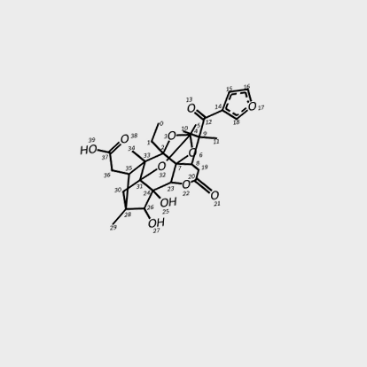 CCC12OC3(C)OC14C(C(C)(C)C(=O)c1ccoc1)CC(=O)OC4C1(O)C(O)C4(C)CC1(O3)C2(C)C4CC(=O)O